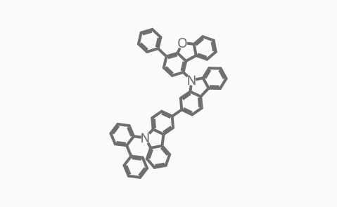 c1ccc(-c2ccccc2-n2c3ccccc3c3cc(-c4ccc5c6ccccc6n(-c6ccc(-c7ccccc7)c7oc8ccccc8c67)c5c4)ccc32)cc1